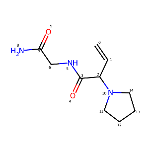 C=CC(C(=O)NCC(N)=O)N1CCCC1